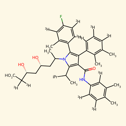 [2H]c1c([2H])c(C)c(C)c(-c2c(C(=O)Nc3c([2H])c([2H])c(C)c(C)c3[2H])c(C(C)C(C)C)n(C(C)C[C@@H](O)C[C@@H](O)C([2H])([2H])C(=O)O)c2-c2c([2H])c([2H])c(F)c([2H])c2C)c1[2H]